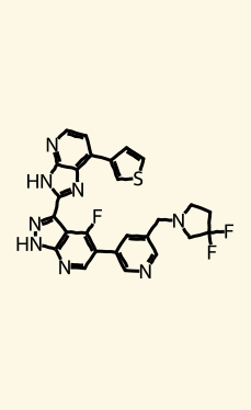 Fc1c(-c2cncc(CN3CCC(F)(F)C3)c2)cnc2[nH]nc(-c3nc4c(-c5ccsc5)ccnc4[nH]3)c12